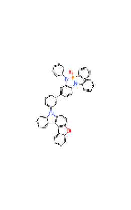 O=P1(c2ccccc2)N(c2ccccc2)c2ccc(-c3cccc(-n4c5ccccc5c5c6c(ccc54)oc4ccccc46)c3)cc2N1c1ccccc1